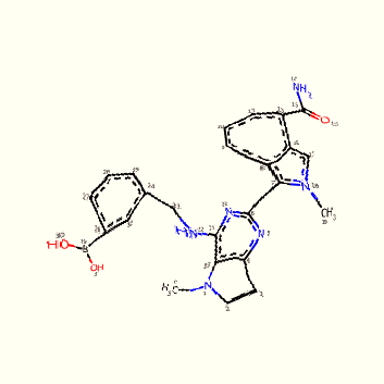 CN1CCc2nc(-c3c4cccc(C(N)=O)c4cn3C)nc(NCc3cccc(B(O)O)c3)c21